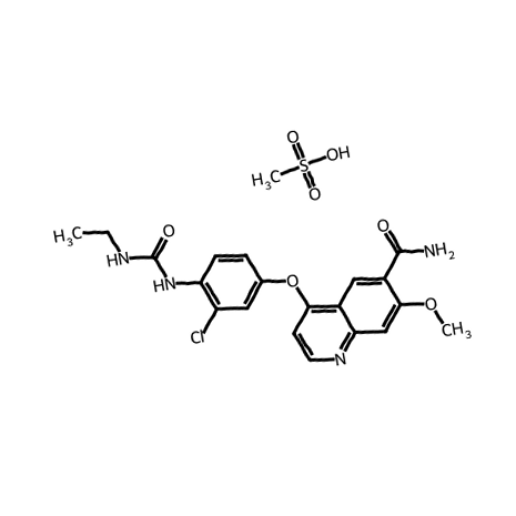 CCNC(=O)Nc1ccc(Oc2ccnc3cc(OC)c(C(N)=O)cc23)cc1Cl.CS(=O)(=O)O